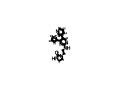 O=C1NCCN1CCNc1ncc(-c2cccnc2)c(-c2cccs2)n1